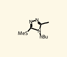 CCCCn1c(C)nnc1SC